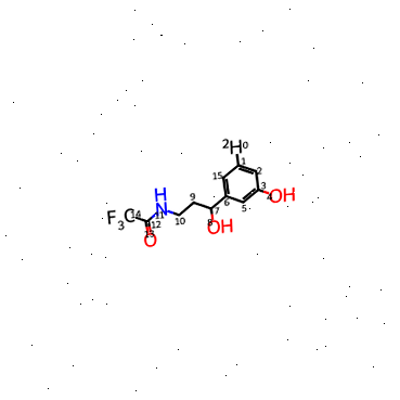 [2H]c1cc(O)cc(C(O)CCNC(=O)C(F)(F)F)c1